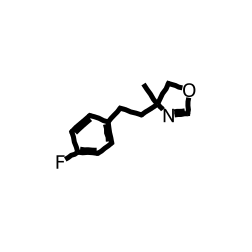 CC1(CCc2ccc(F)cc2)COC=N1